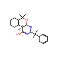 CC(C)(C1=NC2OC(C)(C)C3CCCCC3[C@@H]2C(O)=N1)c1ccccc1